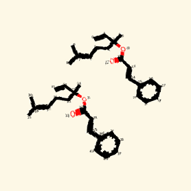 C=CC(C)(CCC=C(C)C)OC(=O)/C=C/c1ccccc1.C=CC(C)(CCC=C(C)C)OC(=O)C=Cc1ccccc1